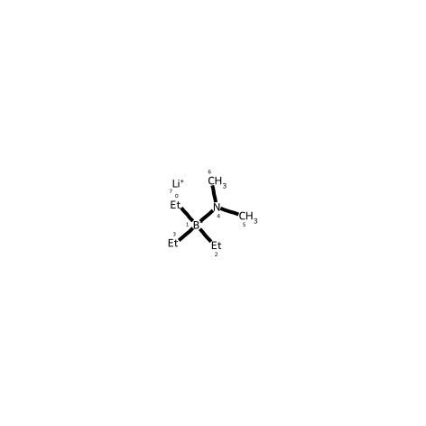 CC[B-](CC)(CC)N(C)C.[Li+]